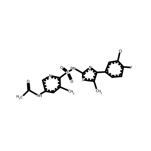 CC(=O)Nc1cnc(S(=O)(=O)Nc2nc(-c3ccc(F)c(Cl)c3)c(C)s2)c(C)c1